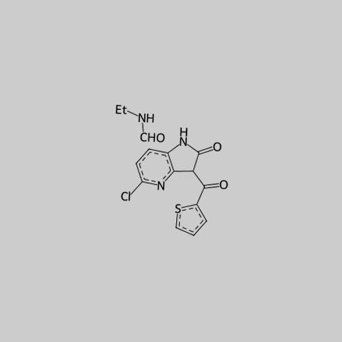 CCNC=O.O=C1Nc2ccc(Cl)nc2C1C(=O)c1cccs1